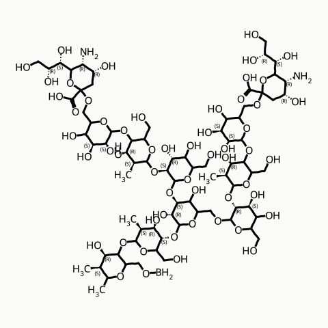 BOCC1OC(C)[C@@H](C)[C@@H](O)C1OC1OC(CO)[C@@H](OC2OC(COC3OC(CO)C(O)[C@H](O)[C@H]3OC3OC(CO)C(OC4OC(COC5(C(=O)O)C[C@@H](O)[C@@H](N)C([C@@H](O)[C@H](O)CO)O5)C(O)[C@H](O)[C@@H]4O)[C@H](O)[C@@H]3C)C(O)[C@H](OC3OC(CO)C(O)[C@@H](O)[C@@H]3OC3OC(CO)C(OC4OC(COC5(C(=O)O)C[C@@H](O)[C@@H](N)C([C@@H](O)[C@H](O)CO)O5)C(O)[C@H](O)[C@@H]4O)[C@H](O)[C@@H]3C)[C@H]2O)[C@H](O)[C@@H]1C